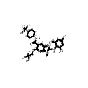 Cn1c(Nc2c(Cl)cc(F)cc2Cl)nc2cc(C(=O)N[C@H]3CC[C@H](C(F)(F)F)CC3)c(OCC(F)(F)F)nc21